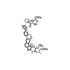 COC[C@@H](C)CN(C(=O)OC(C)(C)C)[C@@H](C)c1nc2ccc3cc4c(cc3c2[nH]1)OCc1cc(-c2cnc([C@@H]3CCCN3C(=O)[C@@H](NC(=O)OC)C(C)C)[nH]2)ccc1-4